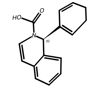 O=C(O)N1C=Cc2ccccc2[C@@H]1C1=CCCC=C1